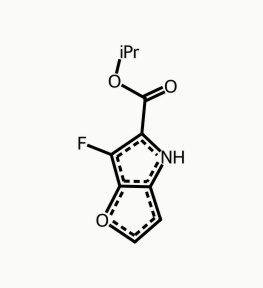 CC(C)OC(=O)c1[nH]c2ccoc2c1F